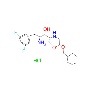 Cl.N[C@@H](Cc1cc(F)cc(F)c1)[C@H](O)[C@H]1CO[C@@H](OCC2CCCCC2)CN1